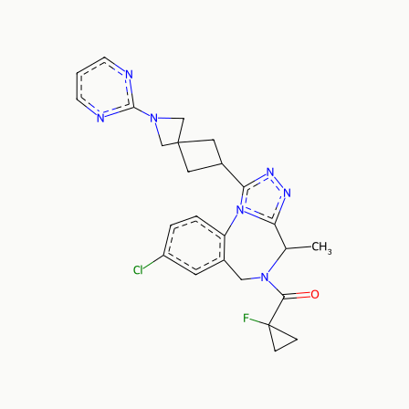 CC1c2nnc(C3CC4(C3)CN(c3ncccn3)C4)n2-c2ccc(Cl)cc2CN1C(=O)C1(F)CC1